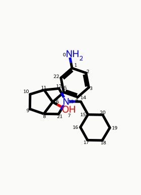 Nc1cccc(C2(O)C3CCC2CN(CC2CCCCC2)C3)c1